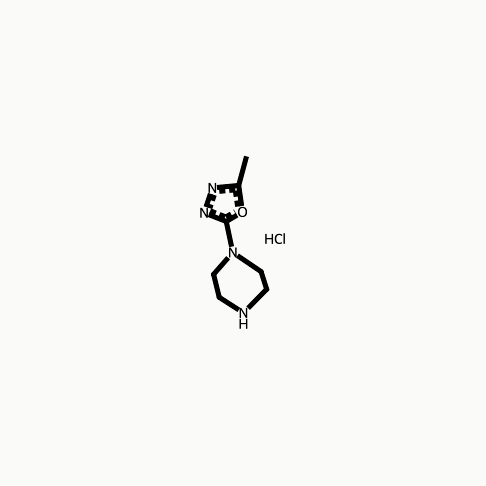 Cc1nnc(N2CCNCC2)o1.Cl